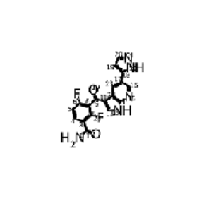 NC(=O)c1ccc(F)c(C(=O)c2c[nH]c3ncc(-c4ccn[nH]4)cc23)c1F